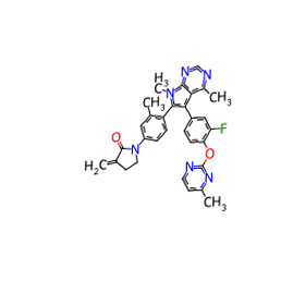 C=C1CCN(c2ccc(-c3c(-c4ccc(Oc5nccc(C)n5)c(F)c4)c4c(C)ncnc4n3C)c(C)c2)C1=O